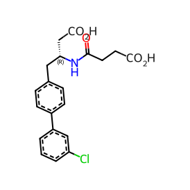 O=C(O)CCC(=O)N[C@@H](CC(=O)O)Cc1ccc(-c2cccc(Cl)c2)cc1